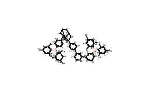 Cc1cc(C)c(B(c2ccc(C34CC5CC(C3)CC(c3ccc(-c6cccc(-c7cccc(B(c8c(C)cc(C)cc8C)c8c(C)cc(C)cc8C)c7)c6)cc3)(C5)C4)cc2)c2c(C)cc(C)cc2C)c(C)c1